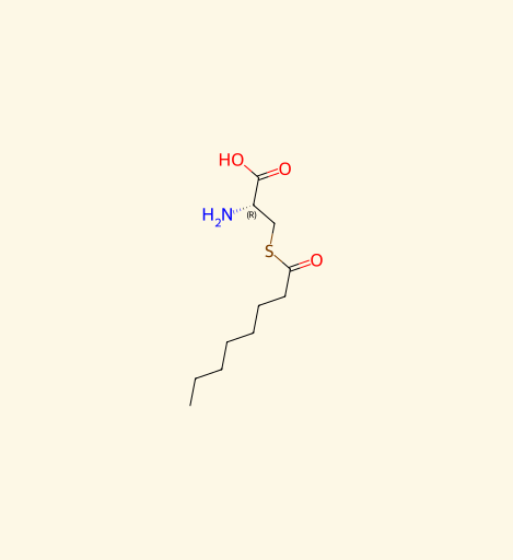 CCCCCCCC(=O)SC[C@H](N)C(=O)O